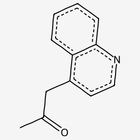 CC(=O)Cc1ccnc2ccccc12